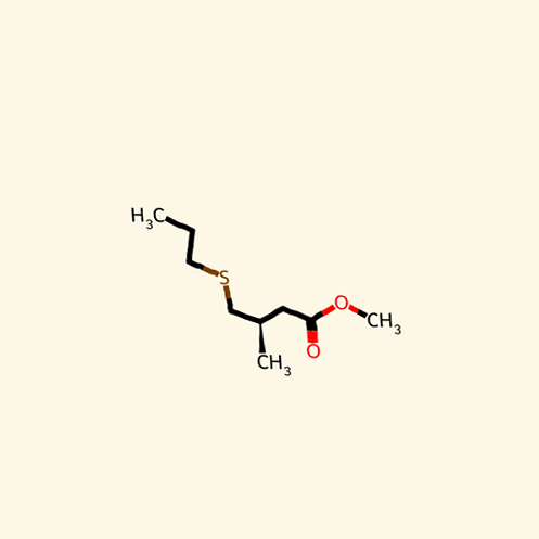 CCCSC[C@H](C)CC(=O)OC